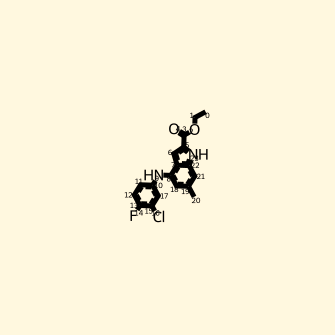 CCOC(=O)c1cc2c(Nc3ccc(F)c(Cl)c3)cc(C)cc2[nH]1